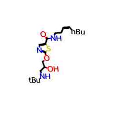 CCCC/C=C\CCNC(=O)c1cnc(OCC(O)CNC(C)(C)C)s1